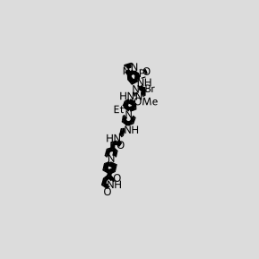 CCc1cc(Nc2ncc(Br)c(Nc3ccc4nccnc4c3P(C)(C)=O)n2)c(OC)cc1N1CCC(NCCNC(=O)CC2CCN(c3ccc(C4CCC(=O)NC4=O)cc3)CC2)CC1